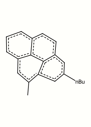 CCCCc1cc2ccc3cccc4cc(C)c(c1)c2c34